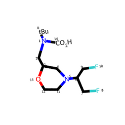 CC(C)(C)N(CC1CN(C(CF)CF)CCO1)C(=O)O